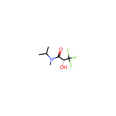 CC(C)N(C)C(=O)[C@@H](O)C(F)(F)F